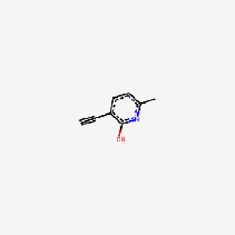 C#Cc1ccc(C)nc1O